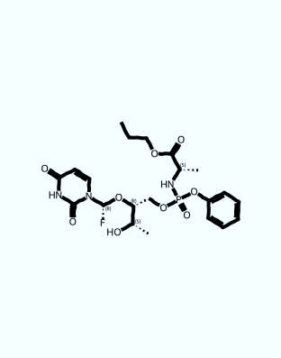 CCCOC(=O)[C@H](C)NP(=O)(OC[C@@H](O[C@H](F)n1ccc(=O)[nH]c1=O)[C@H](C)O)Oc1ccccc1